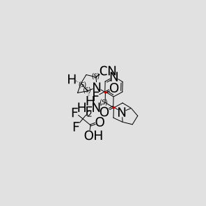 N#C[C@@H]1C[C@@H]2C[C@@H]2N1C(=O)[C@@H](N)C1CC2CCC(C1)N2C(=O)c1ccncc1F.O=C(O)C(F)(F)F